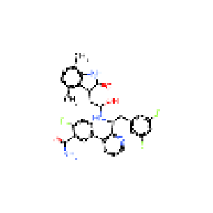 Cc1ccc(C)c2c1NC(=O)C2CC(O)N[C@@H](Cc1cc(F)cc(F)c1)c1ncccc1-c1ccc(F)c(C(N)=O)c1